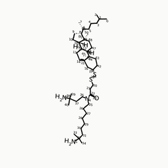 CC(C)CCC[C@@H](C)[C@H]1CC[C@H]2[C@@H]3CC=C4C[C@@H](SSCCC(=O)N(CCCCCCCC(C)(C)N)CCC(C)(C)N)CC[C@]4(C)[C@H]3CC[C@]12C